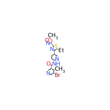 CCc1sc(C2=NOC(C)C2)nc1-c1ccc(NC(=O)c2cncc(Br)c2C)nc1